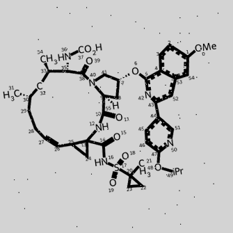 COc1ccc2c(O[C@@H]3C[C@H]4C(=O)NC5(C(=O)NS(=O)(=O)C6(C)CC6)CC5/C=C\CC[C@H](C)C[C@@H](C)[C@H](NC(=O)O)C(=O)N4C3)nc(-c3ccc(OC(C)C)nc3)cc2c1